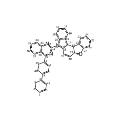 C1=CCCC(C2=CC=C(c3nc(-n4c5c(c6ccccc64)C4c6ccccc6OC4C=C5)nc4ccccc34)CC2)=C1